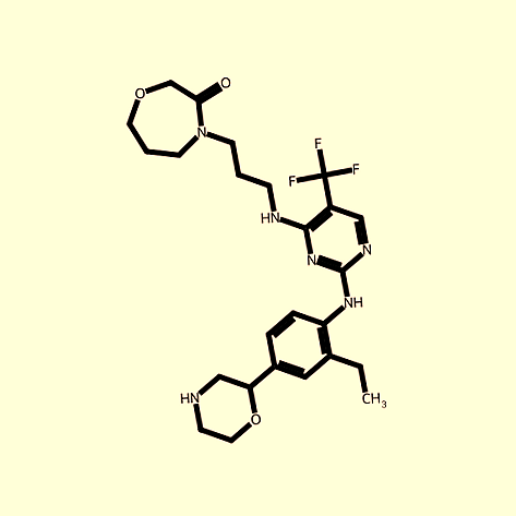 CCc1cc(C2CNCCO2)ccc1Nc1ncc(C(F)(F)F)c(NCCCN2CCCOCC2=O)n1